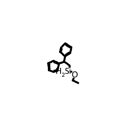 CCO[SiH2]CC(c1ccccc1)c1ccccc1